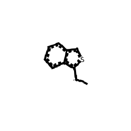 C[CH]c1scc2ccccc12